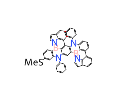 CSc1ccc2c(c1)N(c1ccccc1)c1cc3c(c4c1B2n1ccc2cccc-4c21)N(c1ccccc1)c1cccc2c1B3n1ccc3cccc-2c31